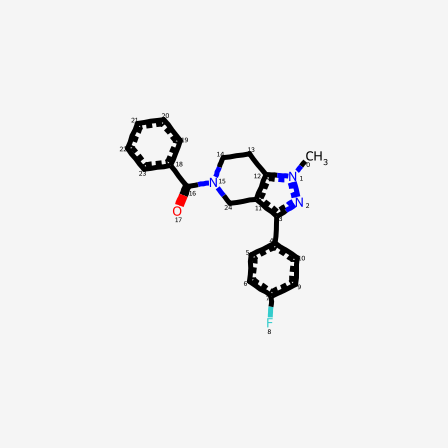 Cn1nc(-c2ccc(F)cc2)c2c1CCN(C(=O)c1ccccc1)C2